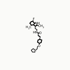 Cc1[nH]c2c(F)ccc(C)c2c1CCNC(=O)C=Cc1ccc(OCCN2CCCC2)cc1